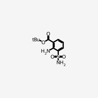 CC(C)(C)OC(=O)c1cccc(S(N)(=O)=O)c1N